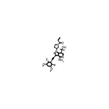 C=CC(=O)N1CCC(n2nc(C#Cc3c(F)c(OC)cc(OC)c3F)c3c(N)ncc(C(C)(C)O)c32)C1